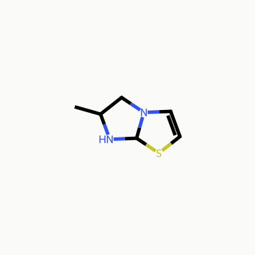 CC1CN2C=CSC2N1